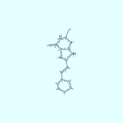 Cc1nc2[nH]c(/N=N/c3ccccc3)nc2c(=O)[nH]1